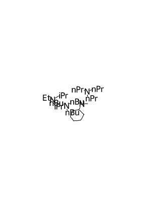 CCCCN(CCCC)CCCC.CCCN(CCC)CCC.CCN(C(C)C)C(C)C.CN(C)C1CCCCC1